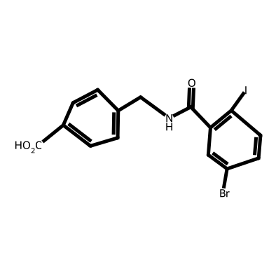 O=C(O)c1ccc(CNC(=O)c2cc(Br)ccc2I)cc1